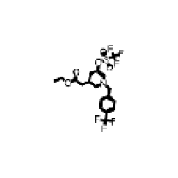 CCOC(=O)CC1CC(OS(=O)(=O)C(F)(F)F)=CN(Cc2ccc(C(F)(F)F)cc2)C1